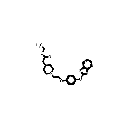 CCOC(=O)CC1CCN(CCOc2ccc(Oc3nc4ccccc4s3)cc2)CC1